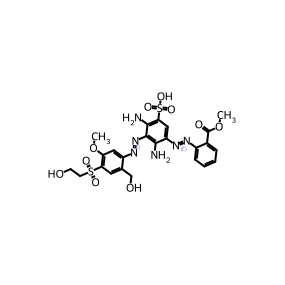 COC(=O)c1ccccc1/N=N/c1cc(S(=O)(=O)O)c(N)c(/N=N/c2cc(OC)c(S(=O)(=O)CCO)cc2CO)c1N